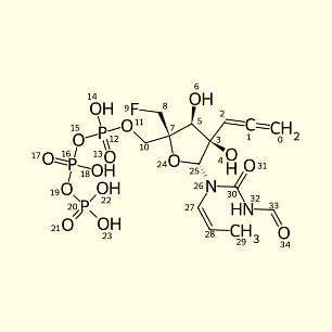 C=C=C[C@@]1(O)[C@H](O)[C@@](CF)(COP(=O)(O)OP(=O)(O)OP(=O)(O)O)O[C@H]1N(/C=C\C)C(=O)NC=O